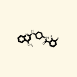 Cc1cc(NC2CCC(NC(=O)c3cccc(F)c3F)CC2)nc2ccccc12